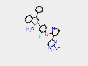 CNc1nccc(-c2cccnc2Oc2ccc(N3C=C(c4ccccc4)c4ccccc4C3N)cc2F)n1